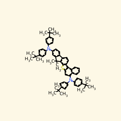 CC(C)(C)c1ccc(N(c2ccc(C(C)(C)C)cc2)c2ccc3c(c2)C(C)(C)c2c-3ccc3c2sc2cc(N(c4ccc(C(C)(C)C)cc4)c4ccc(C(C)(C)C)cc4)c4ccccc4c23)cc1